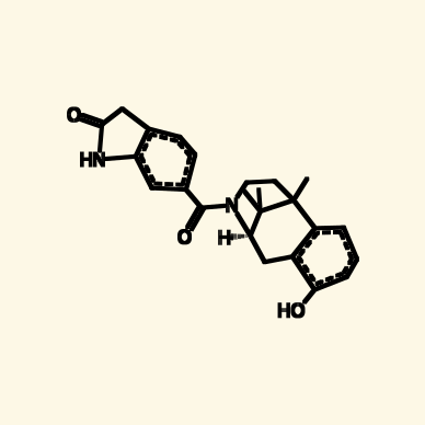 CC12CCN(C(=O)c3ccc4c(c3)NC(=O)C4)[C@H](Cc3c(O)cccc31)C2(C)C